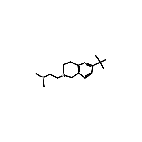 CN(C)CCN1CCc2nc(C(C)(C)C)ccc2C1